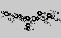 CCOc1nc2[nH]cc(F)c2cc1Oc1cc(N2CCC3(CC2)CC(N2C[C@@H](C)N(Cc4ccc(OC)c5oc(C)cc45)C[C@H]2c2ccccc2C(C)C)C3)ccc1C(=O)NS(=O)(=O)c1cnc(NCC2CCC(C)(O)CC2)c([N+](=O)[O-])c1